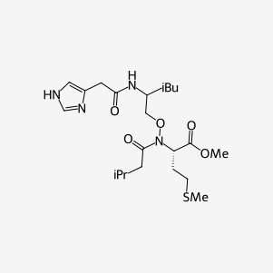 CCC(C)C(CON(C(=O)CC(C)C)[C@@H](CCSC)C(=O)OC)NC(=O)Cc1c[nH]cn1